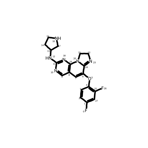 Fc1ccc(OC2=Cc3cnc(NC4CCNC4)nc3N3CCN=C23)c(F)c1